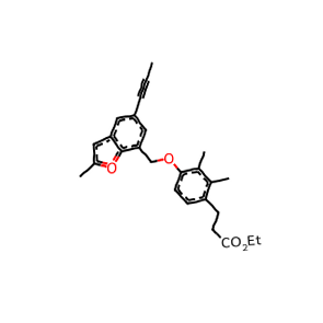 CC#Cc1cc(COc2ccc(CCC(=O)OCC)c(C)c2C)c2oc(C)cc2c1